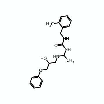 Cc1ccccc1CNC(=O)NC(C)NCC(O)COc1ccccc1